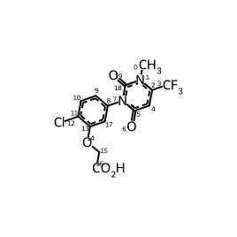 Cn1c(C(F)(F)F)cc(=O)n(-c2ccc(Cl)c(OCC(=O)O)c2)c1=O